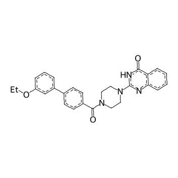 CCOc1cccc(-c2ccc(C(=O)N3CCN(c4nc5ccccc5c(=O)[nH]4)CC3)cc2)c1